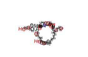 CO[C@@H]1C[C@H](C[C@@H](C)[C@@H]2CC(=O)[C@H](C)/C=C(\C)[C@@H](O)[C@@H](OC)C(=O)[C@H](C)C[C@H](C)/C=C/C=C/C=C(\C)[C@@H](OCC3COC3)C[C@@H]3CC[C@@H](C)[C@@](O)(O3)C(=O)C(=O)N3CCCC[C@H]3C(=O)O2)CC[C@H]1OCCO